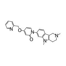 CN1CCc2c(c3ccc(-n4ccc(OCc5ccccn5)cc4=O)cc3n2C)C1